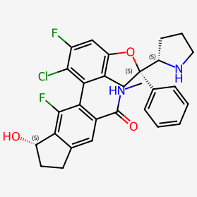 CNC(=O)c1cc2c(c(F)c1-c1c(Cl)c(F)cc3c1C[C@](c1ccccc1)([C@@H]1CCCN1)O3)[C@@H](O)CC2